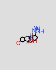 COc1ccc2c(c1)[C@]1(C)CCN(C)[C@H](C2)C1(O)c1cccc(-c2nnn[nH]2)c1